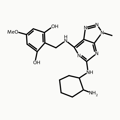 COc1cc(O)c(CNc2nc(NC3CCCCC3N)nc3c2nnn3C)c(O)c1